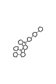 c1ccc(-c2ccc(-c3ccc(-n4c5ccccc5c5c4ccc4c6cccc(-c7ccccc7)c6n(-c6ccccc6)c45)cc3)cc2)cc1